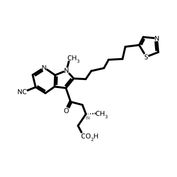 C[C@H](CC(=O)O)CC(=O)c1c(CCCCCCc2cncs2)n(C)c2ncc(C#N)cc12